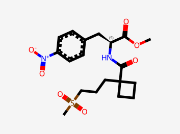 COC(=O)[C@H](Cc1ccc([N+](=O)[O-])cc1)NC(=O)C1(CCCS(C)(=O)=O)CCC1